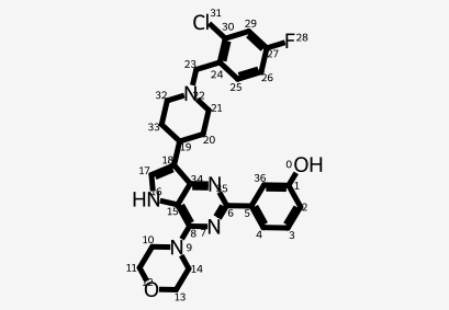 Oc1cccc(-c2nc(N3CCOCC3)c3[nH]cc(C4CCN(Cc5ccc(F)cc5Cl)CC4)c3n2)c1